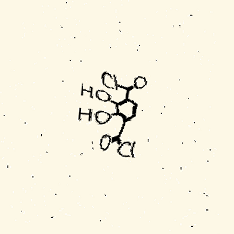 O=C(Cl)c1ccc(C(=O)Cl)c(O)c1O